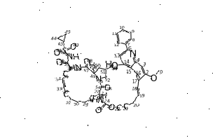 COc1cc2nc(-c3ccccc3)cc3c2cc1/C=C/CCCOC(=O)N[C@H]1CCCCC/C=C\CC(C(=O)NS(=O)(=O)C2CC2)NC(=O)[C@@H]2C[C@H](CN2C1=O)O3